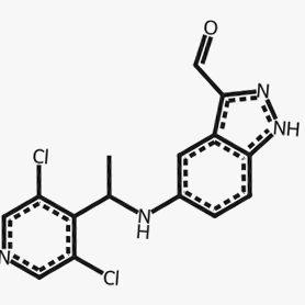 CC(Nc1ccc2[nH]nc(C=O)c2c1)c1c(Cl)cncc1Cl